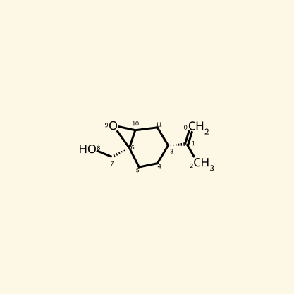 C=C(C)[C@@H]1CC[C@@]2(CO)OC2C1